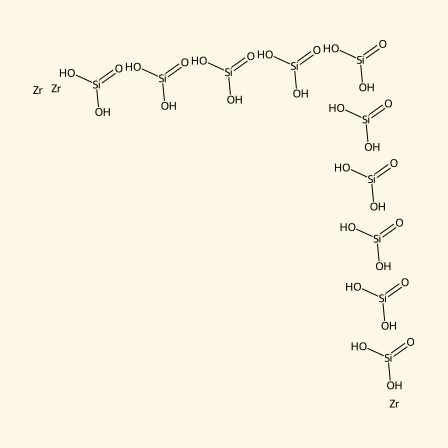 O=[Si](O)O.O=[Si](O)O.O=[Si](O)O.O=[Si](O)O.O=[Si](O)O.O=[Si](O)O.O=[Si](O)O.O=[Si](O)O.O=[Si](O)O.O=[Si](O)O.[Zr].[Zr].[Zr]